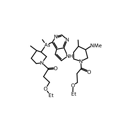 CCOCCC(=O)N1CCC(C)C(NC)C1.CCOCCC(=O)N1CCC(C)C([As](C)c2ncnc3[nH]ccc23)C1